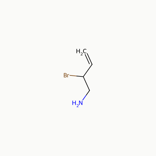 C=CC(Br)CN